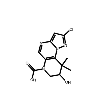 CC1(C)c2c(cnc3cc(Cl)nn23)N(C(=O)O)CC1O